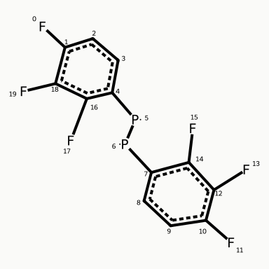 Fc1ccc([P][P]c2ccc(F)c(F)c2F)c(F)c1F